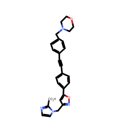 O=C(O)c1nccn1Cc1cc(-c2ccc(C#Cc3ccc(CN4CCOCC4)cc3)cc2)on1